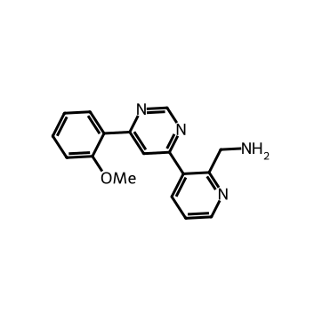 COc1ccccc1-c1cc(-c2cccnc2CN)ncn1